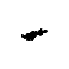 CCCc1ccc(COc2ccc3c(c2F)C(F)(F)C(F)(F)c2c-3ccc(OCC)c2F)cc1F